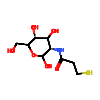 O=C(CCS)N[C@@H]1C(O)OC(CO)[C@H](O)C1O